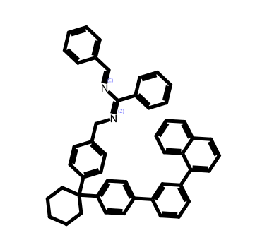 C(=N\C(=N/Cc1ccc(C2(c3ccc(-c4cccc(-c5cccc6ccccc56)c4)cc3)CCCCC2)cc1)c1ccccc1)/c1ccccc1